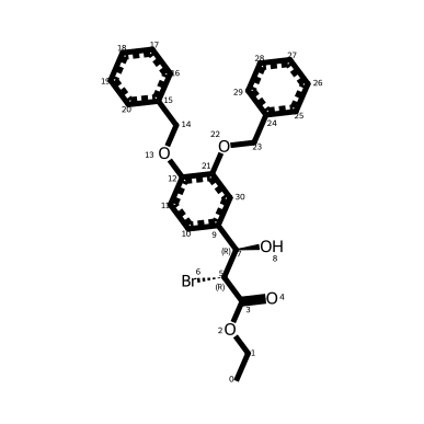 CCOC(=O)[C@H](Br)[C@H](O)c1ccc(OCc2ccccc2)c(OCc2ccccc2)c1